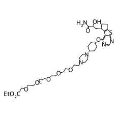 CCOC(=O)COCCOCCOCCOCCOCCN1CCN([C@H]2CC[C@H](Oc3ncnc4sc5c(c34)[C@@H](C[C@H](O)C(N)=O)CC5)CC2)CC1